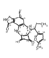 CCC(Nc1c(Nc2c(F)cc(F)c3c2C(=O)NC3)c(=O)c1=O)c1ccc(C)o1